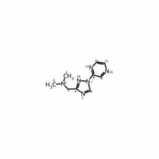 CN(C)Cc1ncn(-c2cnccn2)n1